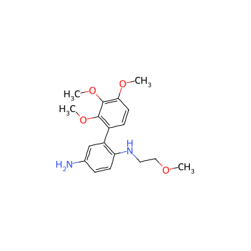 COCCNc1ccc(N)cc1-c1ccc(OC)c(OC)c1OC